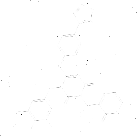 O=c1[nH]cccc1Cn1c(=O)nc(Nc2ccc(-c3cc[nH]n3)cc2)n(Cc2cc(F)c(F)c(F)c2)c1=O